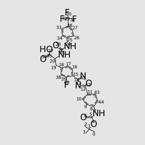 CC(C)(C)OC(=O)Nc1ccc(-c2nc(-c3ccc(CC(NC(=O)Nc4ccc(C(F)(F)F)cc4)C(=O)O)cc3F)no2)cc1